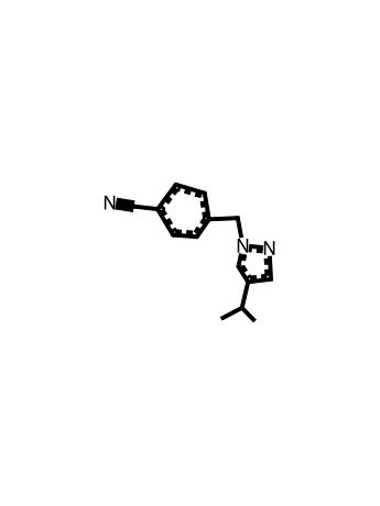 CC(C)c1cnn(Cc2ccc(C#N)cc2)c1